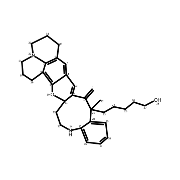 C=C1C2=Cc3cc4c5c(c3OC2CCNc2ccccc2C1(C)CCCCCO)CCCN5CCC4